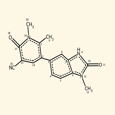 Cc1c(-c2ccc3c(c2)[nH]c(=O)n3C)cc(C#N)c(=O)n1C